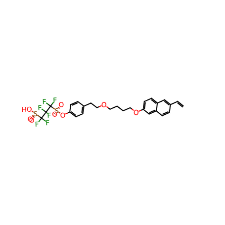 C=Cc1ccc2cc(OCCCCOCCc3ccc(OS(=O)(=O)C(F)(F)C(F)(F)C(F)(F)S(=O)(=O)O)cc3)ccc2c1